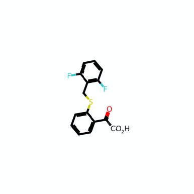 O=C(O)C(=O)c1ccccc1SCc1c(F)cccc1F